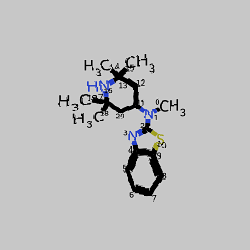 CN(c1nc2ccccc2s1)C1CC(C)(C)NC(C)(C)C1